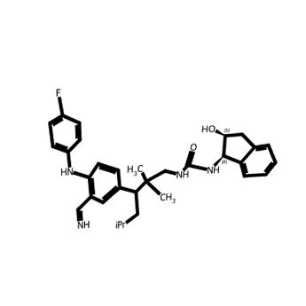 CC(C)CC(c1ccc(Nc2ccc(F)cc2)c(C=N)c1)C(C)(C)CNC(=O)N[C@@H]1c2ccccc2C[C@@H]1O